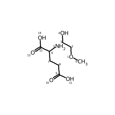 COCCO.NC(CCC(=O)O)C(=O)O